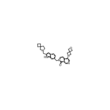 O=c1c2cncc(N3CC4(COC4)C3)c2ccn1Cc1ccc2cc(CN3CCC4(CCC4)C3)[nH]c2c1